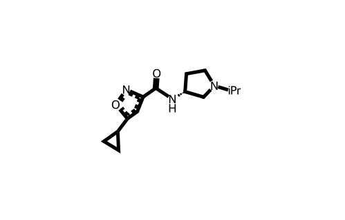 CC(C)N1CC[C@@H](NC(=O)c2cc(C3CC3)on2)C1